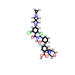 COC(=O)c1cc(F)c(-c2cccc3c2OCN(C(=O)c2c(Cl)cc(N4CC5(C4)CN(C4CC4)C5)cc2Cl)C3)cc1N1C2CCC1COC2